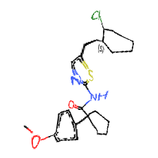 COc1ccc(C2(C(=O)Nc3ncc(C[C@@H]4CCCCC4Cl)s3)CCCC2)cc1